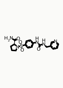 NC(=O)[C@@H]1CCCN1S(=O)(=O)c1ccc(NC(=O)NCc2cccnc2)cc1